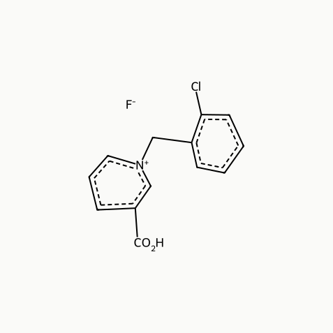 O=C(O)c1ccc[n+](Cc2ccccc2Cl)c1.[F-]